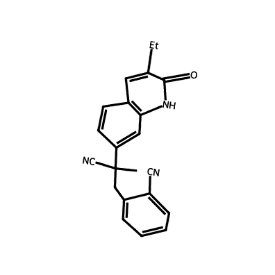 CCc1cc2ccc(C(C)(C#N)Cc3ccccc3C#N)cc2[nH]c1=O